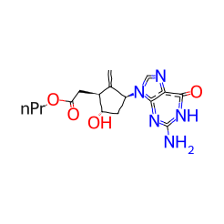 C=C1[C@H](CC(=O)OCCC)[C@@H](O)C[C@@H]1n1cnc2c(=O)[nH]c(N)nc21